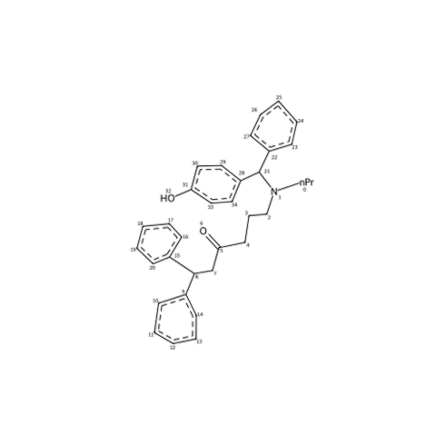 CCCN(CCCC(=O)CC(c1ccccc1)c1ccccc1)C(c1ccccc1)c1ccc(O)cc1